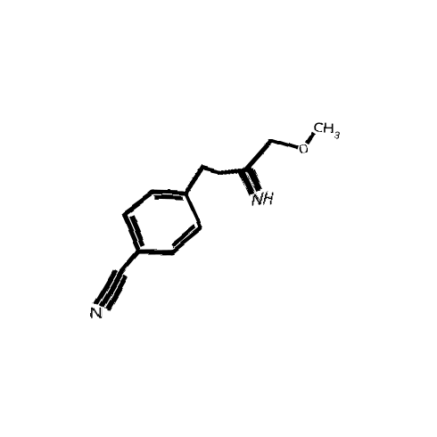 COCC(=N)Cc1ccc(C#N)cc1